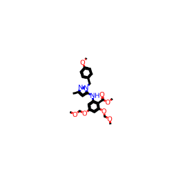 COCOc1cc(Nc2cc(C)nn2Cc2ccc(OC)cc2)c(C(=O)OC)c(OCOC)c1